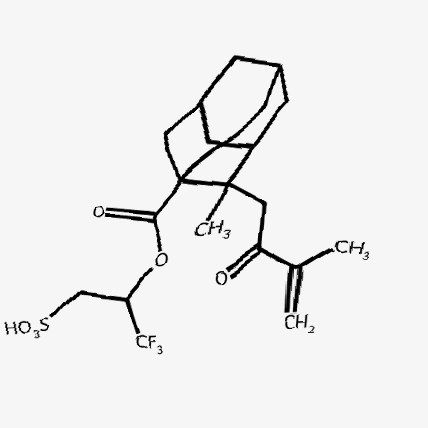 C=C(C)C(=O)CC1(C)C2CC3CC(C2)CC1(C(=O)OC(CS(=O)(=O)O)C(F)(F)F)C3